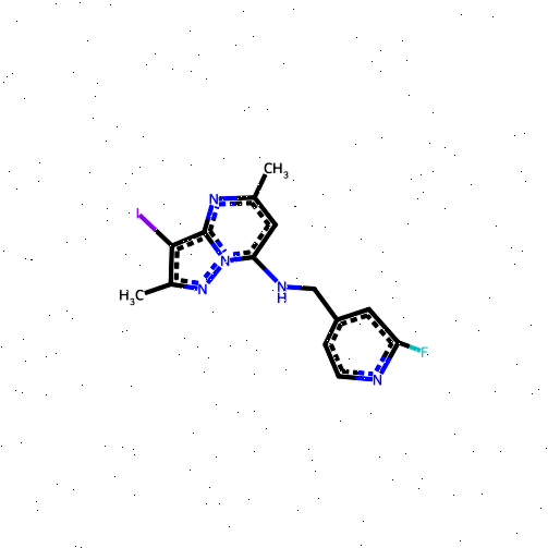 Cc1cc(NCc2ccnc(F)c2)n2nc(C)c(I)c2n1